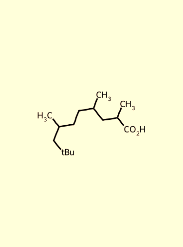 CC(CCC(C)CC(C)(C)C)CC(C)C(=O)O